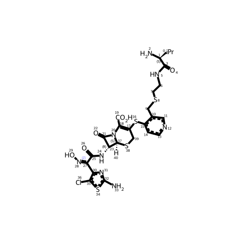 CC(C)[C@H](N)C(=O)NCCSCc1cnccc1SC1=C(C(=O)O)N2C(=O)[C@@H](NC(=O)/C(=N\O)c3nc(N)sc3Cl)[C@@H]2SC1